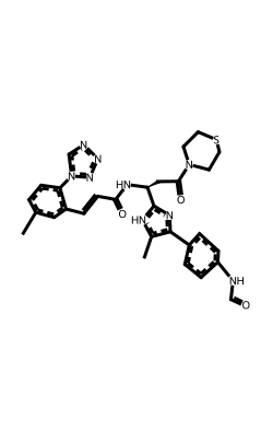 Cc1ccc(-n2cnnn2)c(/C=C/C(=O)N[C@@H](CC(=O)N2CCSCC2)c2nc(-c3ccc(NC=O)cc3)c(C)[nH]2)c1